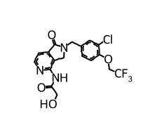 O=C(CO)Nc1nccc2c1CN(Cc1ccc(OCC(F)(F)F)c(Cl)c1)C2=O